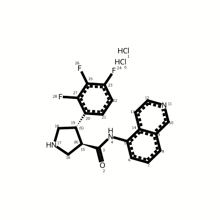 Cl.Cl.O=C(Nc1cccc2cnccc12)[C@H]1CNC[C@@H]1c1ccc(F)c(F)c1F